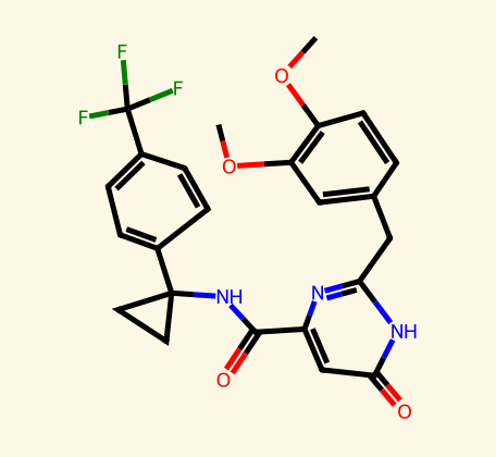 COc1ccc(Cc2nc(C(=O)NC3(c4ccc(C(F)(F)F)cc4)CC3)cc(=O)[nH]2)cc1OC